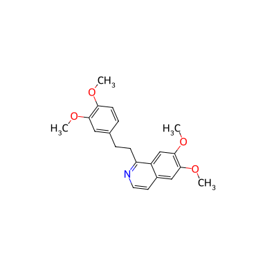 COc1ccc(CCc2nccc3cc(OC)c(OC)cc23)cc1OC